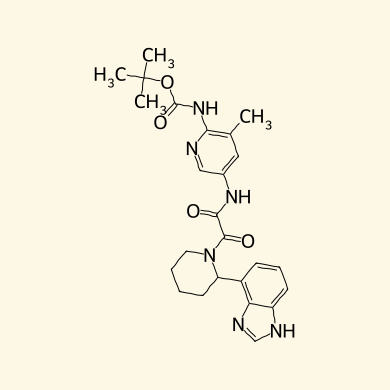 Cc1cc(NC(=O)C(=O)N2CCCCC2c2cccc3[nH]cnc23)cnc1NC(=O)OC(C)(C)C